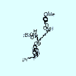 COc1ccc(COC(=O)NC(C)(C)CCCCCCCN(CCC(C)(C)NC(=O)OC(C)(C)C)C(=O)O[C@H]2CC[C@@]3(C)C(=CC[C@H]4[C@@H]5CC[C@H]([C@H](C)CCCC(C)C)[C@@]5(C)CC[C@@H]43)C2)cc1